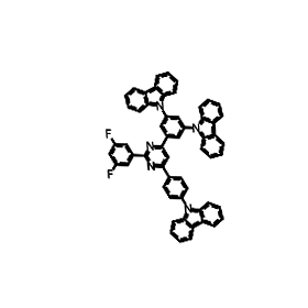 Fc1cc(F)cc(-c2nc(-c3ccc(-n4c5ccccc5c5ccccc54)cc3)cc(-c3cc(-n4c5ccccc5c5ccccc54)cc(-n4c5ccccc5c5ccccc54)c3)n2)c1